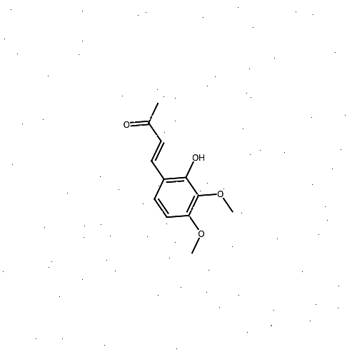 COc1ccc(/C=C/C(C)=O)c(O)c1OC